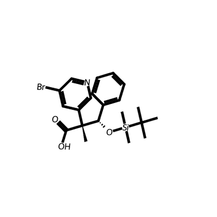 CC(C)(C)[Si](C)(C)O[C@@H](c1ccccc1)[C@](C)(C(=O)O)c1cncc(Br)c1